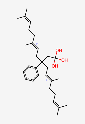 CC(C)=CCC/C(C)=C/CC(C/C=C(\C)CCC=C(C)C)(CC(O)(O)O)c1ccccc1